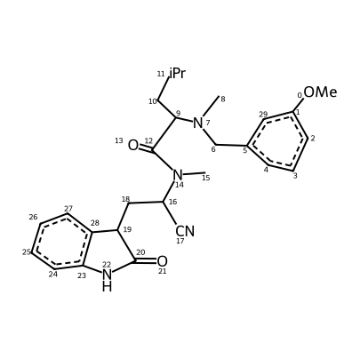 COc1cccc(CN(C)C(CC(C)C)C(=O)N(C)C(C#N)CC2C(=O)Nc3ccccc32)c1